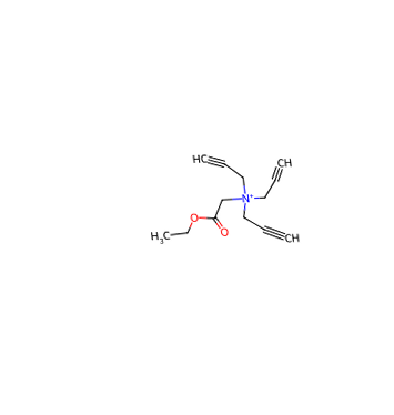 C#CC[N+](CC#C)(CC#C)CC(=O)OCC